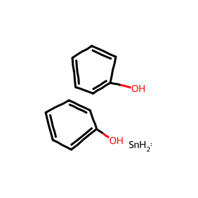 Oc1ccccc1.Oc1ccccc1.[SnH2]